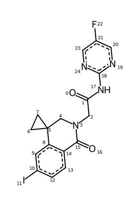 O=C(CN1CC2(CC2)c2cc(I)ccc2C1=O)Nc1ncc(F)cn1